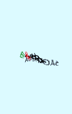 CC(=O)OC1CC[C@@]2(C)C(CC[C@H]3C4=CC[C@H](C(=O)COC(=O)CBr)[C@@]4(C)C(OC(C)=O)C[C@@H]32)C1